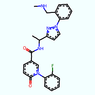 CNCc1ccccc1-n1ccc(C(C)NC(=O)c2ccc(=O)n(-c3ccccc3F)c2)n1